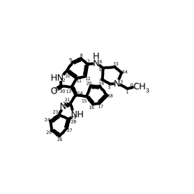 CCN1CCC(Nc2ccc3c(c2)/C(=C(\c2ccccc2)c2nc4ccccc4[nH]2)C(=O)N3)CC1